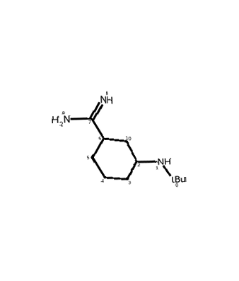 CC(C)(C)NC1CCCC(C(=N)N)C1